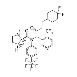 CN1CC[C@H]2C[C@]21C(=O)N(c1ccc(S(F)(F)(F)(F)F)cc1)C(C(=O)CCC1CCC(F)(F)CC1)c1cnccc1C(F)(F)F